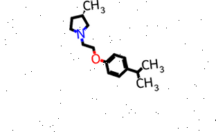 CC(C)c1ccc(OCCN2CC[C@H](C)C2)cc1